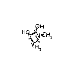 Cc1cc(O)c(O)[n+](C)c1